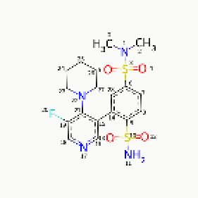 CN(C)S(=O)(=O)c1ccc(S(N)(=O)=O)c(-c2cncc(F)c2N2CCCCC2)c1